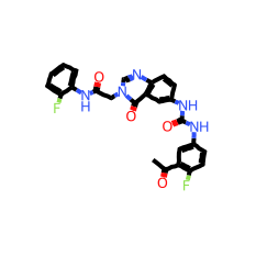 CC(=O)c1cc(NC(=O)Nc2ccc3ncn(CC(=O)Nc4ccccc4F)c(=O)c3c2)ccc1F